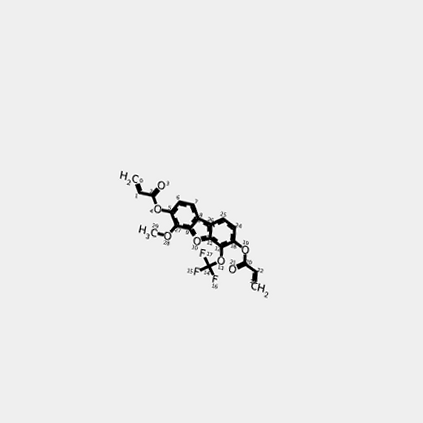 C=CC(=O)Oc1ccc2c(oc3c(OC(F)(F)F)c(OC(=O)C=C)ccc32)c1OC